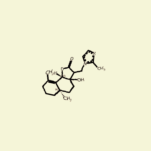 CC1=C2[C@@H]3OC(=O)C(Cn4ccnc4C)C3(O)CC[C@@]2(C)CCC1